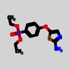 CCOP(=O)(OCC)c1ccc(Oc2cnc(N)s2)cc1